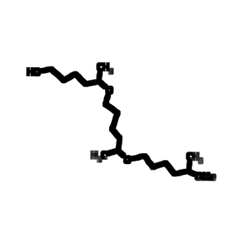 COC(C)CCCCOC(C)CCCCOC(C)CCCCO